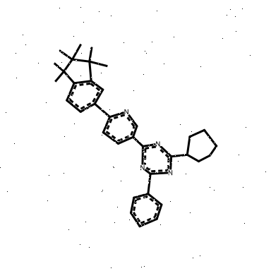 CC1(C)c2ccc(-c3ccc(-c4nc(-c5ccccc5)nc(C5CCCCC5)n4)cn3)cc2C(C)(C)C1(C)C